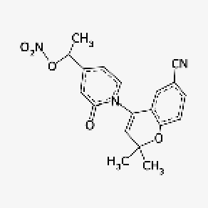 CC(O[N+](=O)[O-])c1ccn(C2=CC(C)(C)Oc3ccc(C#N)cc32)c(=O)c1